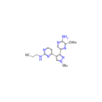 COc1nc(-c2nn(C(C)(C)C)cc2-c2ccnc(NCCC#N)n2)cnc1N